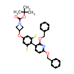 CC(C)(C)OC(=O)N1CC(Oc2cc(F)c(-c3ccc(OCc4ccccc4)nc3OCc3ccccc3)c(F)c2)C1